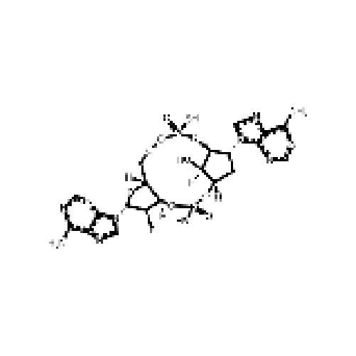 Nc1ncnc2c1ncn2[C@@H]1C[C@@H]2OP(=O)(S)O[C@H]3[C@@H](F)[C@H](n4cnc5c(N)ncnc54)O[C@@H]3CCOP(=O)(S)O[C@@H]1[C@@H]2O